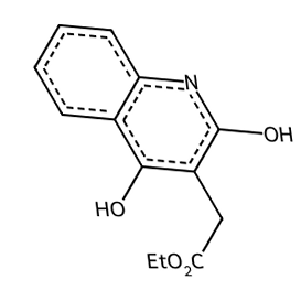 CCOC(=O)Cc1c(O)nc2ccccc2c1O